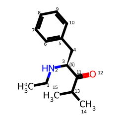 CCN[C@@H](Cc1ccccc1)C(=O)C(C)C